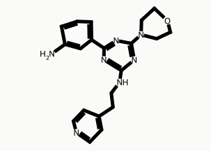 Nc1cccc(-c2nc(NCCc3ccncc3)nc(N3CCOCC3)n2)c1